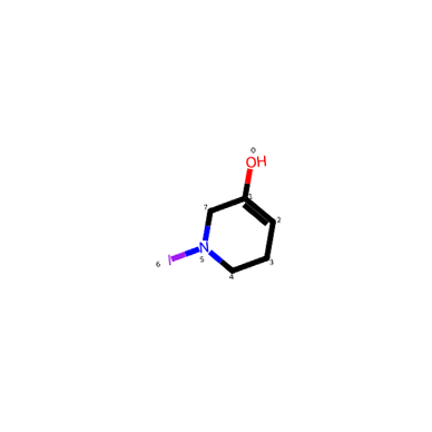 OC1=CCCN(I)C1